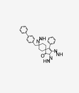 N=NC1=C(c2ccccc2)C2(CCC(Cc3ccc(-c4ccccc4)cc3)(N=N)CC2)C(=O)C1N=N